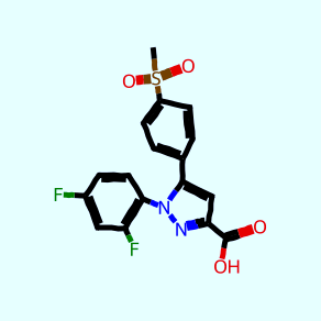 CS(=O)(=O)c1ccc(-c2cc(C(=O)O)nn2-c2ccc(F)cc2F)cc1